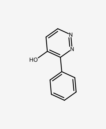 Oc1ccnnc1-c1ccccc1